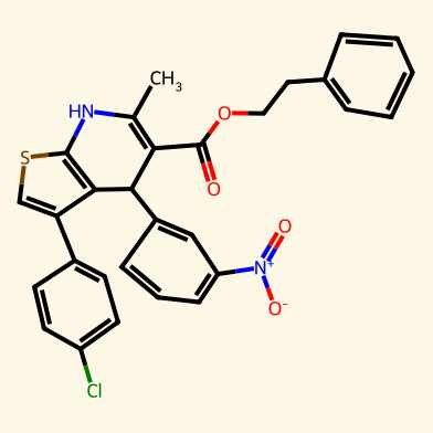 CC1=C(C(=O)OCCc2ccccc2)C(c2cccc([N+](=O)[O-])c2)c2c(-c3ccc(Cl)cc3)csc2N1